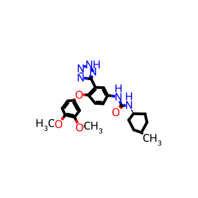 COc1ccc(Oc2ccc(NC(=O)N[C@H]3CC[C@H](C)CC3)cc2-c2nn[nH]n2)cc1OC